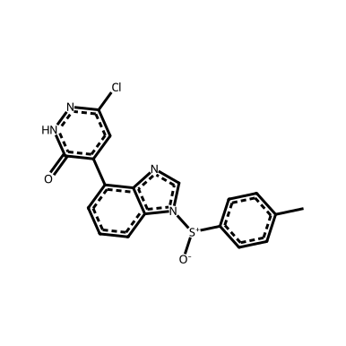 Cc1ccc([S+]([O-])n2cnc3c(-c4cc(Cl)n[nH]c4=O)cccc32)cc1